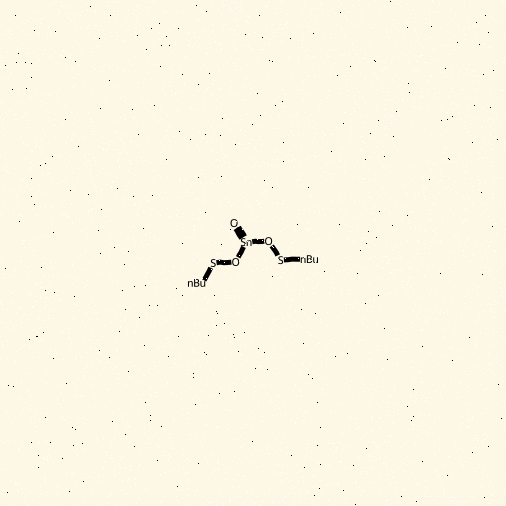 CCCCS[O][Sn](=[O])[O]SCCCC